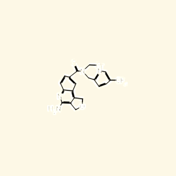 CC(C)CN(Cc1ccc(C(F)(F)F)cn1)C(=O)c1ccc2nc(N)c3c(c2c1)COC3